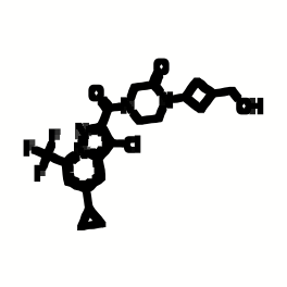 O=C(c1nn2c(C(F)(F)F)cc(C3CC3)cc2c1Cl)N1CCN(C2CC(CO)C2)C(=O)C1